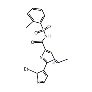 C/C=C1\C=C(C(=O)NS(=O)(=O)c2ccccc2C)N=C1C1=CC=NC1CC